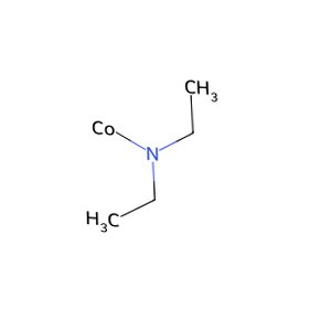 CC[N]([Co])CC